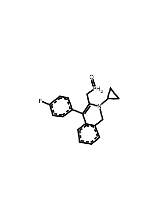 O=[PH2]CC1=C(c2ccc(F)cc2)c2ccccc2CN1C1CC1